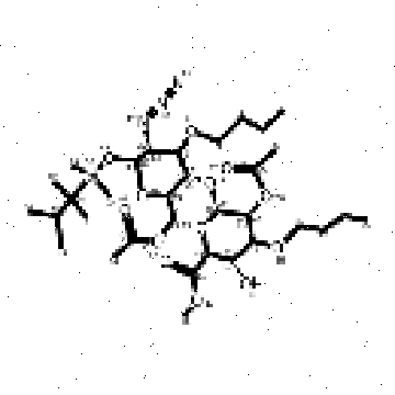 CCCCOC1[C@H](O[C@@H]2OC(C(=O)OC)[C@@H](O)C(OCCCC)[C@@H]2OC(C)=O)C(COC(C)=O)O[C@@H](O[Si](C)(C)C(C)(C)C(C)C)[C@H]1N=[N+]=[N-]